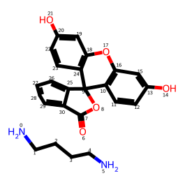 NCCCCN.O=C1OC2(c3ccc(O)cc3Oc3cc(O)ccc32)c2ccccc21